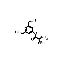 CCCCC(N)C(=O)Oc1cc(CO)nc(CO)c1